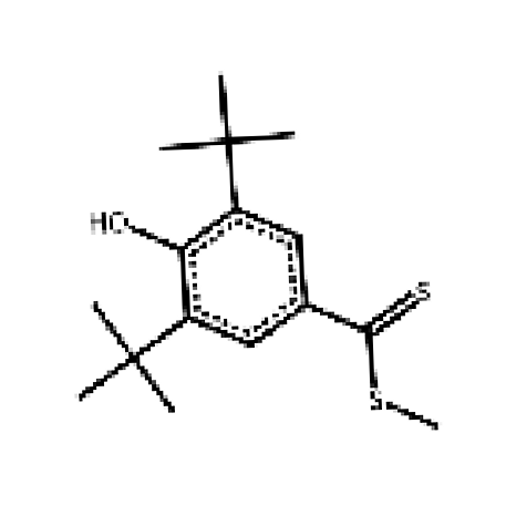 CSC(=S)c1cc(C(C)(C)C)c(O)c(C(C)(C)C)c1